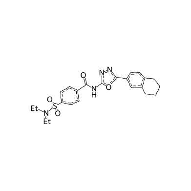 CCN(CC)S(=O)(=O)c1ccc(C(=O)Nc2nnc(-c3ccc4c(c3)CCCC4)o2)cc1